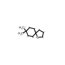 CC1(C)CCC2(CCCO2)CC1